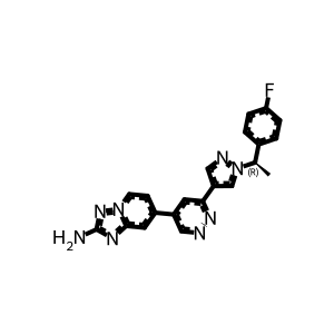 C[C@H](c1ccc(F)cc1)n1cc(-c2cc(-c3ccn4nc(N)nc4c3)cnn2)cn1